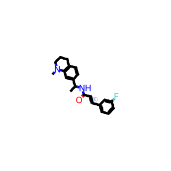 CC(NC(=O)/C=C/c1cccc(F)c1)c1ccc2c(c1)N(C)CCC2